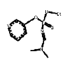 CCOP(=S)(/N=C/N(C)C)Oc1cccnc1